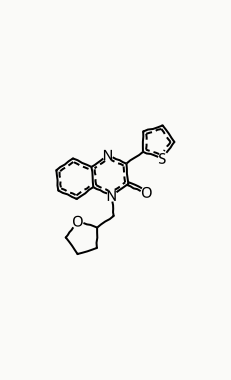 O=c1c(-c2cccs2)nc2ccccc2n1CC1CCCO1